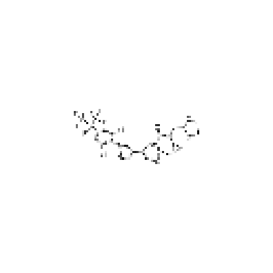 O=C(c1cc(-c2cnn(-c3c(Cl)cc(C(F)(C(F)(F)F)C(F)(F)F)cc3Cl)c2)cnc1Cl)N(CC1OCCO1)C1CC1